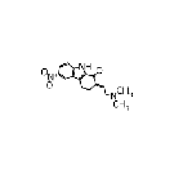 CN(C)CC=C1CCc2c([nH]c3ccc([N+](=O)[O-])cc23)C1=O